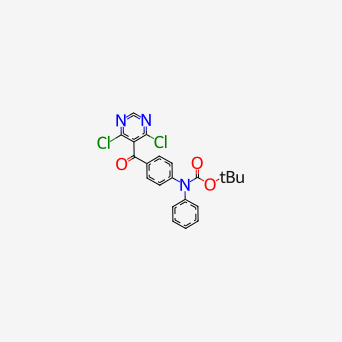 CC(C)(C)OC(=O)N(c1ccccc1)c1ccc(C(=O)c2c(Cl)ncnc2Cl)cc1